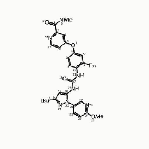 CNC(=O)c1cc(Oc2ccc(NC(=O)Nc3cc(C(C)(C)C)nn3-c3ccc(OC)nc3)c(F)c2)ccn1